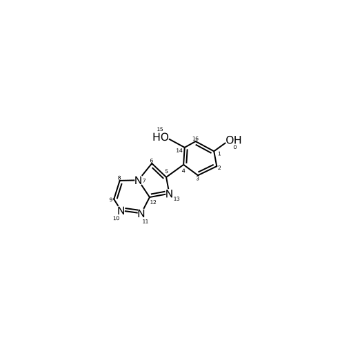 Oc1ccc(-c2cn3ccnnc3n2)c(O)c1